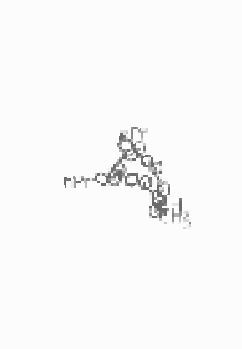 C=CC(=O)OCCCOc1ccc(C(=O)OC2(C#CC#CC3(OC(=O)c4ccc(OCCCOC(=O)C=C)cc4)CCC(CCC)CC3)CCC(CCC)CC2)cc1